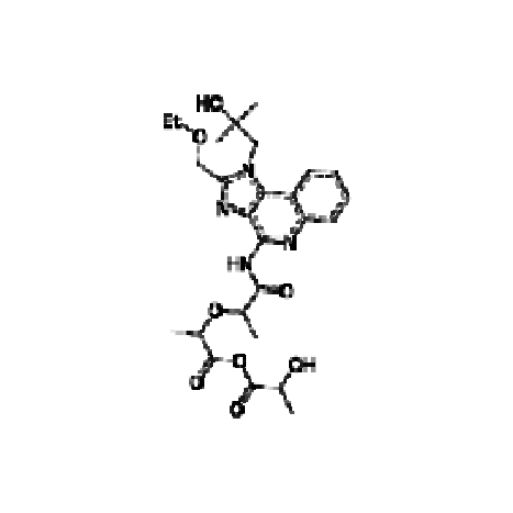 CCOCc1nc2c(NC(=O)C(C)OC(C)C(=O)OC(=O)C(C)O)nc3ccccc3c2n1CC(C)(C)O